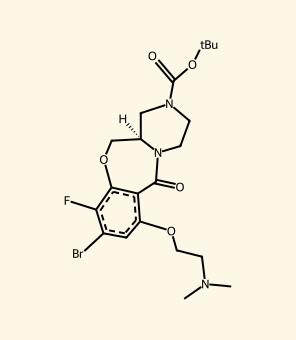 CN(C)CCOc1cc(Br)c(F)c2c1C(=O)N1CCN(C(=O)OC(C)(C)C)C[C@@H]1CO2